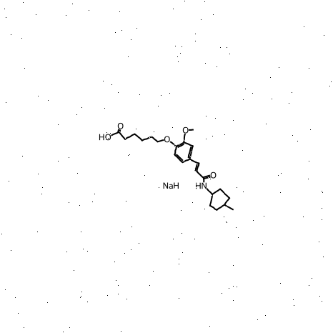 COc1cc(C=CC(=O)NC2CCC(C)CC2)ccc1OCCCCCC(=O)O.[NaH]